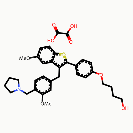 COc1ccc2sc(-c3ccc(OCCCCO)cc3)c(Cc3ccc(CN4CCCC4)c(OC)c3)c2c1.O=C(O)C(=O)O